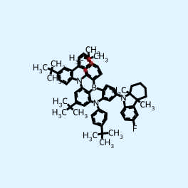 CC(C)(C)c1ccc(N2c3cc(N4c5ccc(F)cc5C5(C)CCCCC45C)ccc3B3c4ccc(C(C)(C)C)cc4N(c4ccc(C(C)(C)C)cc4-c4ccccc4)c4cc(C(C)(C)C)cc2c43)cc1